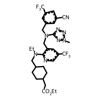 CCOC(=O)CC1CCC(CN(CC)c2ncc(C(F)(F)F)cc2CN(Cc2cc(C#N)cc(C(F)(F)F)c2)c2nnn(C)n2)CC1